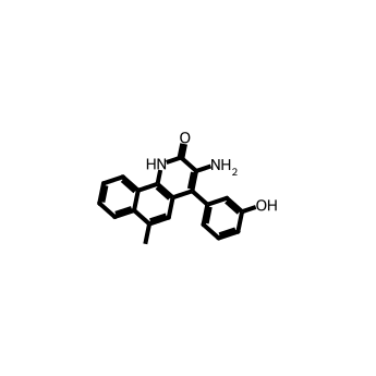 Cc1cc2c(-c3cccc(O)c3)c(N)c(=O)[nH]c2c2ccccc12